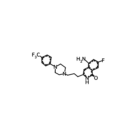 Nc1cc(F)cc2c(=O)[nH]c(CCCN3CCN(c4ccc(C(F)(F)F)cc4)CC3)cc12